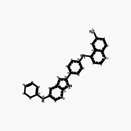 Cc1ccc2nccc(Nc3ccc(-c4nc5cc(NC6=CC=NCC6)cnc5[nH]4)cc3)c2c1